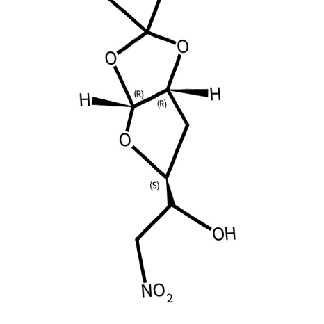 CC1(C)O[C@H]2O[C@H](C(O)C[N+](=O)[O-])C[C@H]2O1